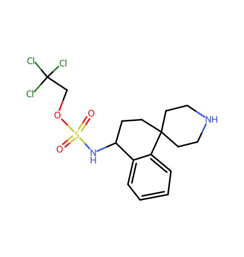 O=S(=O)(NC1CCC2(CCNCC2)c2ccccc21)OCC(Cl)(Cl)Cl